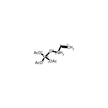 C=C[SiH2]O[Si](OC(C)=O)(OC(C)=O)OC(C)=O